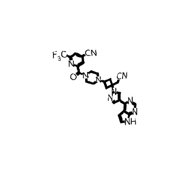 N#CCC1(n2cc(-c3ncnc4[nH]ccc34)cn2)CC(N2CCN(C(=O)c3cc(C#N)cc(C(F)(F)F)n3)CC2)C1